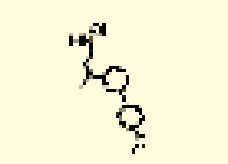 COc1ccc(-c2cccc(/C(C)=C\CNO)c2)cc1